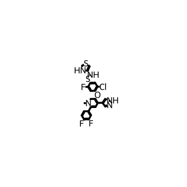 CN1CC(Oc2cc(F)c(SNC3=CSCN3)cc2Cl)=C(c2cn[nH]c2)C=C1c1ccc(F)c(F)c1